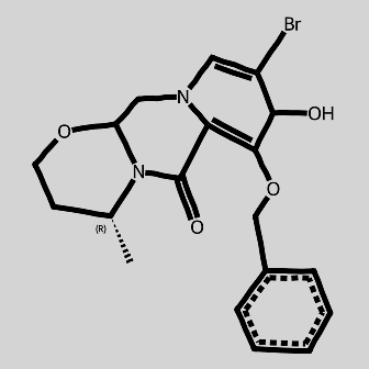 C[C@@H]1CCOC2CN3C=C(Br)C(O)C(OCc4ccccc4)=C3C(=O)N21